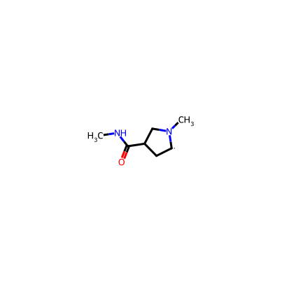 CNC(=O)C1C[CH]N(C)C1